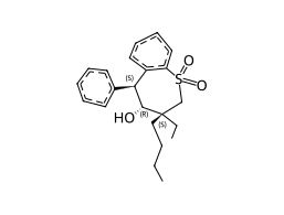 CCCC[C@]1(CC)CS(=O)(=O)c2ccccc2[C@H](c2ccccc2)[C@H]1O